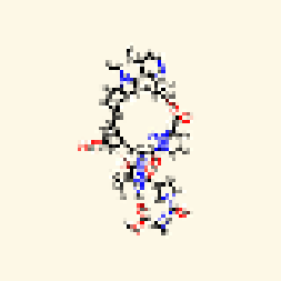 CCc1ccncc1-c1c2c3cc(ccc3n1CC)-c1cc(O)cc(c1)C[C@H](NC(=O)[C@H](C(C)C)N(C)C(=O)[C@H]1CCN(C(=O)N3C[C@@H]3C(=O)OC)C1)C(=O)N1CCC[C@H](N1)C(=O)OCC(C)(C)C2